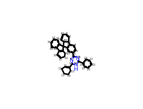 C1=CC2c3ccc(C4=NC(C5=CCCCC5)NC(c5ccccc5)=N4)cc3C3(C4=C(C=CCC4)c4ccccc43)C2C=C1